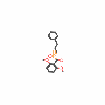 COc1cccc(OC)c1C(=O)[PH](=O)CCCc1ccccc1